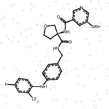 CNc1cncc(C(=O)N[C@@]2(C(=O)NCc3ccc(Nc4ccc(F)cc4C(F)(F)F)cc3)CCOC2)c1